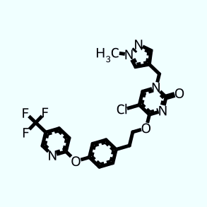 Cn1cc(Cn2cc(Cl)c(OCCc3ccc(Oc4ccc(C(F)(F)F)cn4)cc3)nc2=O)cn1